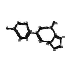 Cc1ncc(-c2cc(C)c3nccn3c2)cn1